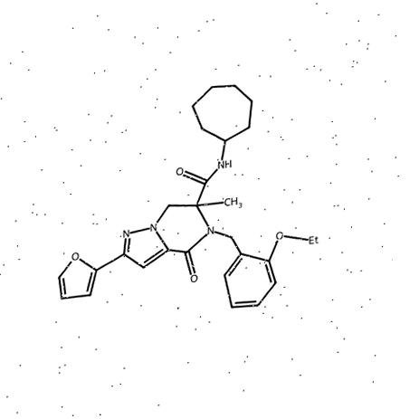 CCOc1ccccc1CN1C(=O)c2cc(-c3ccco3)nn2CC1(C)C(=O)NC1CCCCCC1